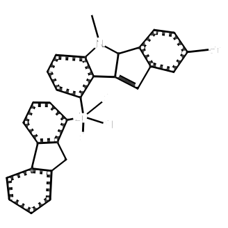 CN1c2ccc[c]([Zr]([SH])([Cl])([Cl])[c]3cccc4c3Cc3ccccc3-4)c2C2=Cc3cc(Br)ccc3C21